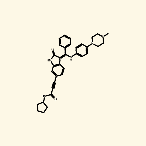 CN1CCN(c2ccc(NC(=C3C(=O)Nc4cc(C#CC(=O)NC5CCCC5)ccc43)c3ccccc3)cc2)CC1